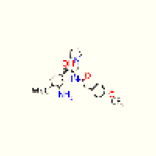 COc1ccc([C@@H](O)[C@@H](CN2CCCC2)NC(=O)Cc2ccc(OC(F)(F)F)cc2)cc1N